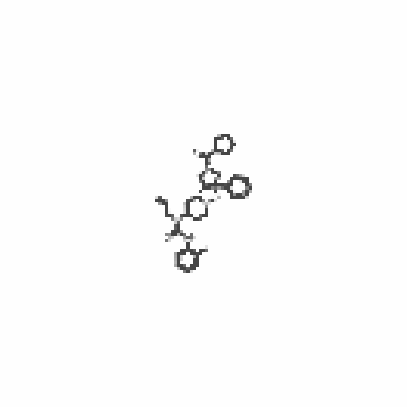 C=CCN(C(=O)Nc1ccccc1C)C1CCN(O[C@]2(c3ccccc3)CN(C(=O)C3CCCC3)C[C@@H]2C)CC1